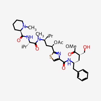 COC(=O)[C@H](CO)C[C@H](Cc1ccccc1)NC(=O)c1csc([C@@H](C[C@H](C(C)C)N(C)C(=O)[C@@H](NC(=O)[C@H]2CCCCN2C)C(C)C)OC(C)=O)n1